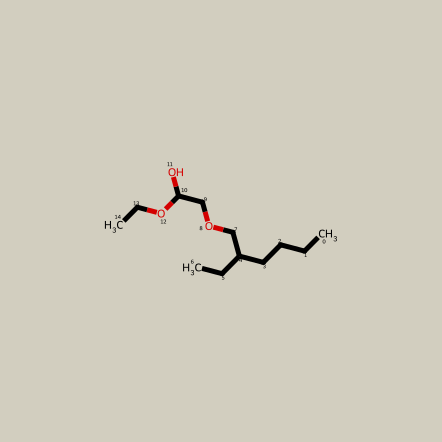 CCCCC(CC)COCC(O)OCC